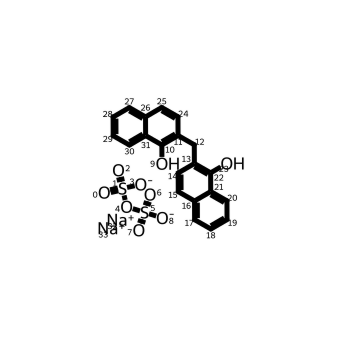 O=S(=O)([O-])OS(=O)(=O)[O-].Oc1c(Cc2ccc3ccccc3c2O)ccc2ccccc12.[Na+].[Na+]